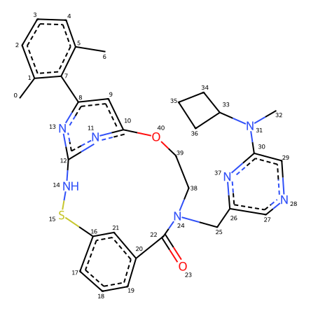 Cc1cccc(C)c1-c1cc2nc(n1)NSc1cccc(c1)C(=O)N(Cc1cncc(N(C)C3CCC3)n1)CCO2